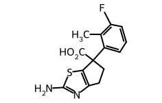 Cc1c(F)cccc1C1(C(=O)O)CCc2nc(N)sc21